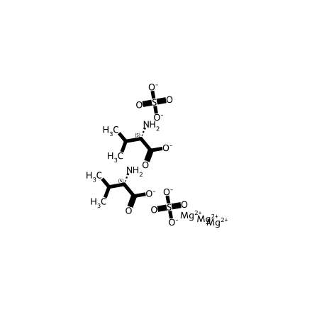 CC(C)[C@H](N)C(=O)[O-].CC(C)[C@H](N)C(=O)[O-].O=S(=O)([O-])[O-].O=S(=O)([O-])[O-].[Mg+2].[Mg+2].[Mg+2]